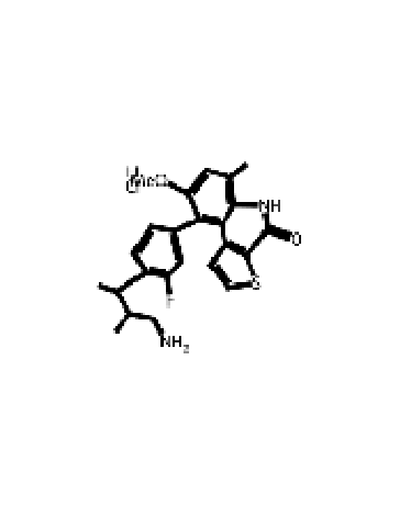 COc1cc(C)c2[nH]c(=O)c3sccc3c2c1-c1ccc(C(C)C(C)CN)c(F)c1.Cl